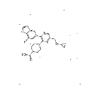 O=C(O)C1CCN(c2nc(COC3CC3)cnc2-c2cc(F)c3occc3c2)CC1